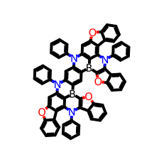 c1ccc(N2c3cc4c(cc3B3c5oc6ccccc6c5N(c5ccccc5)c5c3c2cc2oc3ccccc3c52)B2c3oc5ccccc5c3N(c3ccccc3)c3c2c(cc2oc5ccccc5c32)N4c2ccccc2)cc1